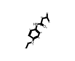 CCOc1ccc(NC(=O)CC(C)C)cc1